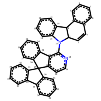 C1=CC2C(c3ccccc31)c1ccccc1N2c1nccc2c1-c1ccccc1C21c2ccccc2-c2ccccc21